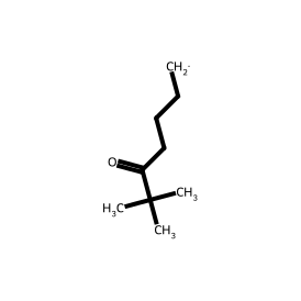 [CH2]CCCC(=O)C(C)(C)C